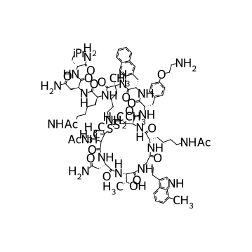 CC(=O)NCCCC[C@@H]1NC(=O)[C@H](CCc2c[nH]c3c(C)cccc23)NC(=O)[C@H]([C@@H](C)O)NC(=O)[C@H](CC(N)=O)NC(=O)[C@@H](NC(C)=O)C(C)(C)SSC(C)(C)[C@@H](C(=O)N[C@@H](Cc2ccc(OCCN)cc2)C(=O)N[C@@H](Cc2ccc3ccccc3c2)C(=O)N[C@@](C)(CCCCN)C(=O)N[C@@H](CCCCNC(C)=O)C(=O)N[C@@H](CC(N)=O)C(=O)N[C@H](CC(C)C)C(N)=O)NC1=O